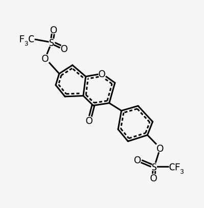 O=c1c(-c2ccc(OS(=O)(=O)C(F)(F)F)cc2)coc2cc(OS(=O)(=O)C(F)(F)F)ccc12